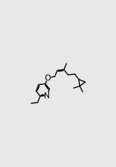 CCc1ccc(OCC=C(C)CCC2CC2(C)C)cn1